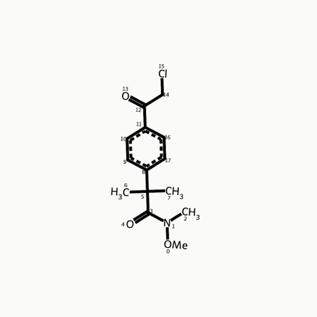 CON(C)C(=O)C(C)(C)c1ccc(C(=O)CCl)cc1